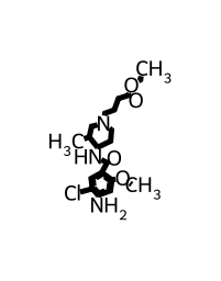 CCOC(=O)CCCN1CCC(NC(=O)c2cc(Cl)c(N)cc2OC)C(C)C1